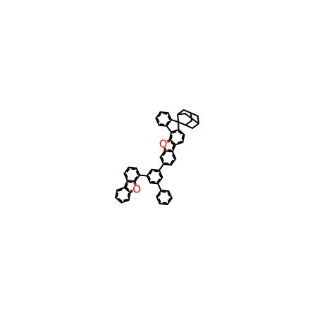 c1ccc(-c2cc(-c3ccc4c(c3)oc3c5c(ccc34)C3(c4ccccc4-5)C4CC5CC(C4)CC3C5)cc(-c3cccc4c3oc3ccccc34)c2)cc1